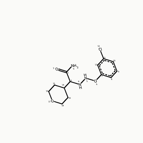 NC(=O)C(NNOc1cccc(Cl)c1)C1CCOCC1